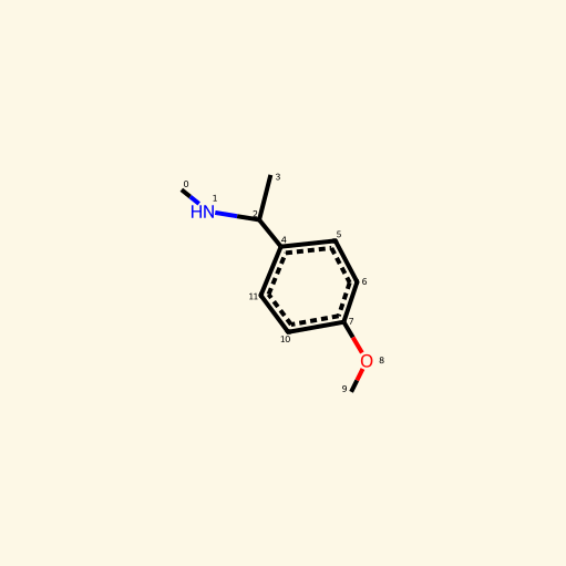 CNC(C)c1ccc(OC)cc1